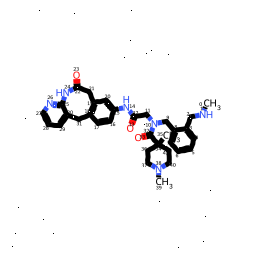 CNCc1ccccc1CN(CC(=O)Nc1ccc2c(c1)CC(=O)Nc1ncccc1C2)C(=O)C1(C)CCN(C)CC1